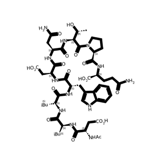 CC[C@H](C)[C@H](NC(=O)[C@H](CC(=O)O)NC(C)=O)C(=O)N[C@H](C(=O)N[C@@H](Cc1c[nH]c2ccccc12)C(=O)N[C@@H](CC(=O)O)C(=O)N[C@@H](CC(N)=O)C(=O)N[C@H](C(=O)N1CCC[C@H]1C(=O)N[C@@H](CCC(N)=O)C(=O)O)[C@@H](C)O)[C@@H](C)CC